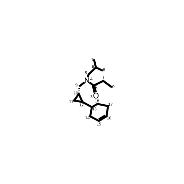 CCC(=O)N(CC(C)C)C[C@H]1CC1C1CC=CCC1